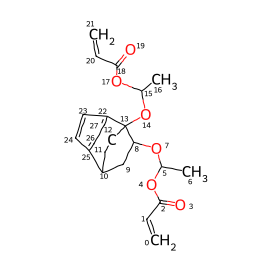 C=CC(=O)OC(C)OC1CC2CCC1(OC(C)OC(=O)C=C)c1ccc2cc1